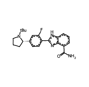 CC(C)(C)N1CCC[C@H]1c1ccc(-c2nc3c(C(N)=O)cccc3[nH]2)c(F)c1